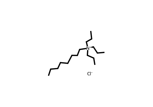 CCCCCCCC[N+](CCC)(CCC)CCC.[Cl-]